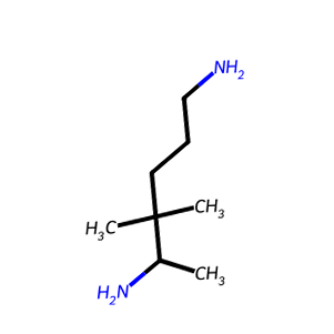 CC(N)C(C)(C)CCCN